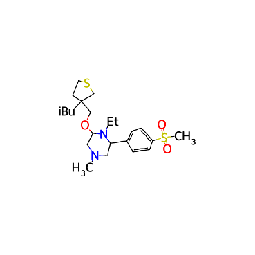 CCC(C)C1(COC2CN(C)CC(c3ccc(S(C)(=O)=O)cc3)N2CC)CCSC1